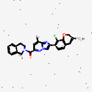 CCc1cc(C(=O)N2CCc3ccccc3[C@H]2C)nn2cc(-c3ccc4c(c3F)OCC(C(=O)O)=C4)nc12